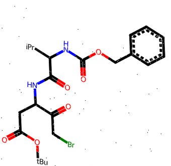 CC(C)C(NC(=O)OCc1ccccc1)C(=O)NC(CC(=O)OC(C)(C)C)C(=O)CBr